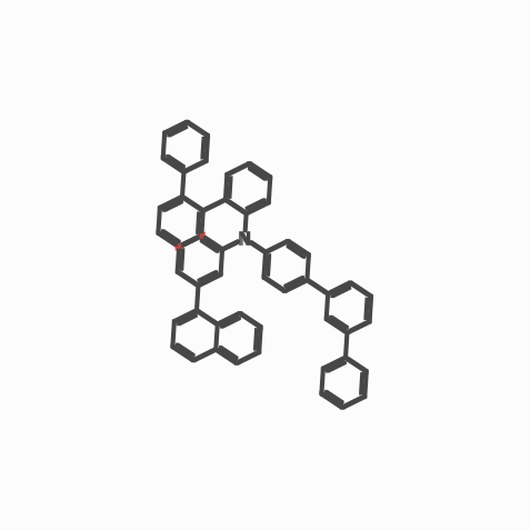 c1ccc(-c2cccc(-c3ccc(N(c4cccc(-c5cccc6ccccc56)c4)c4ccccc4-c4ccccc4-c4ccccc4)cc3)c2)cc1